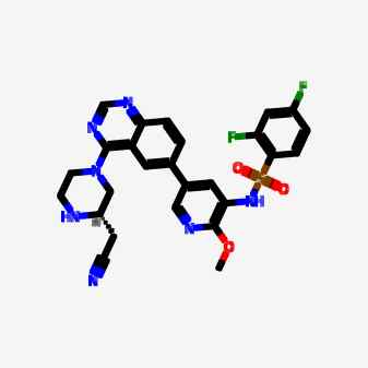 COc1ncc(-c2ccc3ncnc(N4CCN[C@@H](CC#N)C4)c3c2)cc1NS(=O)(=O)c1ccc(F)cc1F